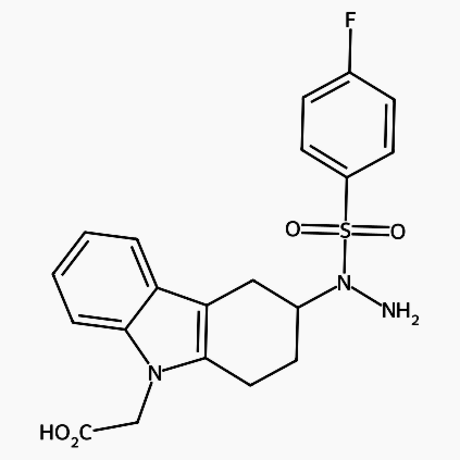 NN(C1CCc2c(c3ccccc3n2CC(=O)O)C1)S(=O)(=O)c1ccc(F)cc1